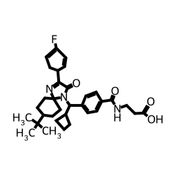 CC(C)(C)C1CCC2(CC1)N=C(C1C=CC(F)=CC1)C(=O)N2C(c1ccc(C(=O)NCCC(=O)O)cc1)C1CCC1